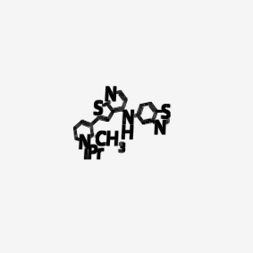 CC(C)N1CCC=C(c2cc3c(Nc4ccc5scnc5c4)ccnc3s2)[C@@H]1C